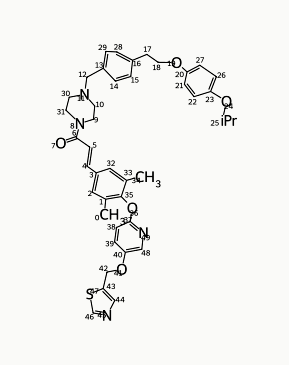 Cc1cc(C=CC(=O)N2CCN(Cc3ccc(CCOc4ccc(OC(C)C)cc4)cc3)CC2)cc(C)c1Oc1ccc(OCc2cncs2)cn1